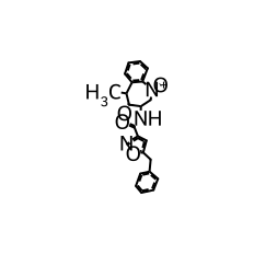 CC1C(=O)C(NC(=O)c2cc(Cc3ccccc3)on2)C[N+](=O)c2ccccc21